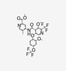 COC(=O)c1cc(NC(=O)c2c(Oc3ccc(OC(F)(F)F)cc3OC)cnc(C(F)(F)F)c2OC)c(C)cn1